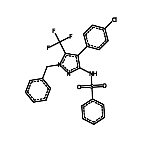 O=S(=O)(Nc1nn(Cc2ccccc2)c(C(F)(F)F)c1-c1ccc(Cl)cc1)c1ccccc1